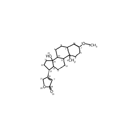 COC1CCC2(C)C(CCC3C2CCC2C(C4=CC(=O)OC4)CCC23O)C1